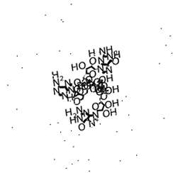 C[n+]1cn([C@@H]2O[C@H](COP(=O)(O)OP(=O)(O)OP(=O)(O)OC[C@@]34CO[C@@H](C3OP(=O)(O)OC[C@H]3O[C@@H](n5cnc6c(=O)[nH]c(N)nc65)[C@@H](O)C3O)[C@H](n3cnc5c(N)ncnc53)O4)C(O)[C@@H]2O)c2nc(N)[nH]c(=O)c21